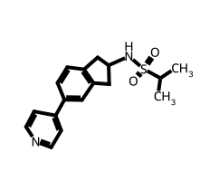 CC(C)S(=O)(=O)NC1Cc2ccc(-c3ccncc3)cc2C1